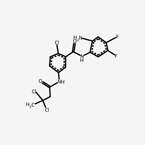 CC(Cl)(Cl)CC(=O)Nc1ccc(Cl)c(C(=O)Nc2cc(F)c(F)cc2N)c1